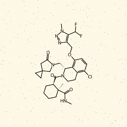 CNC(=O)[C@@]1(C)CCCC[C@H]1C(=O)N1CCc2c(Cl)ccc(OCc3nnn(C)c3C(F)F)c2[C@H]1CN1CC2(CC2)CC1=O